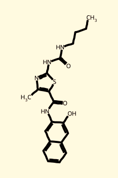 CCCCNC(=O)Nc1nc(C)c(C(=O)Nc2cc3ccccc3cc2O)s1